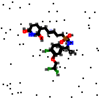 C[C@@H](NS(=O)(=O)CC/C=C/CC1CCC(=O)NC1=O)c1ccc(F)c(OCC(F)F)c1